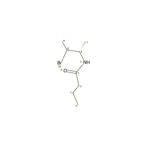 CCCC(=O)N[C@@H](C)C(C)Br